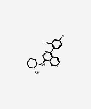 Oc1cc(Cl)ccc1-c1nnc(N[C@@H]2CCCC[C@H]2O)c2cnccc12